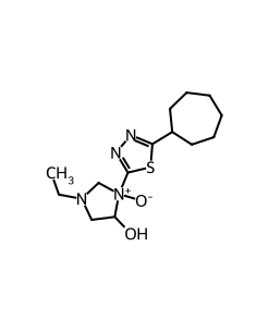 CCN1CC(O)[N+]([O-])(c2nnc(C3CCCCCC3)s2)C1